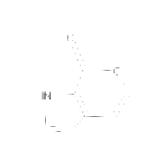 O=c1occc2cc[nH]c12